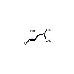 Br.C/C=C/CN(C)C